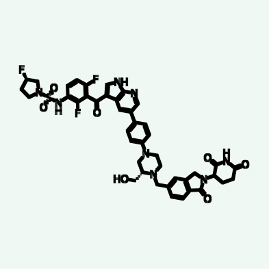 O=C1CCC(N2Cc3cc(CN4CCN(c5ccc(-c6cnc7[nH]cc(C(=O)c8c(F)ccc(NS(=O)(=O)N9CC[C@@H](F)C9)c8F)c7c6)cc5)C[C@H]4CO)ccc3C2=O)C(=O)N1